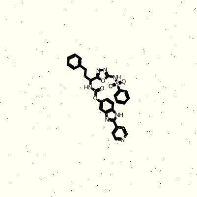 O=C(NC(CCc1ccccc1)c1nnc(NS(=O)(=O)c2ccccc2)o1)Oc1ccc2[nH]c(-c3ccncc3)nc2c1